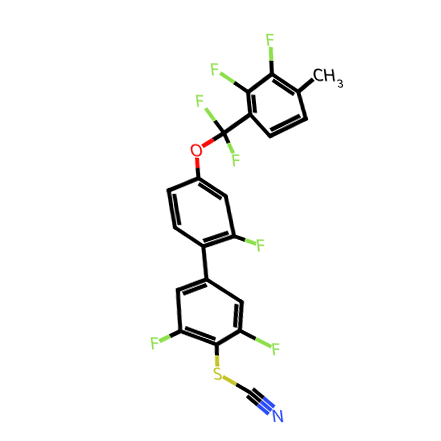 Cc1ccc(C(F)(F)Oc2ccc(-c3cc(F)c(SC#N)c(F)c3)c(F)c2)c(F)c1F